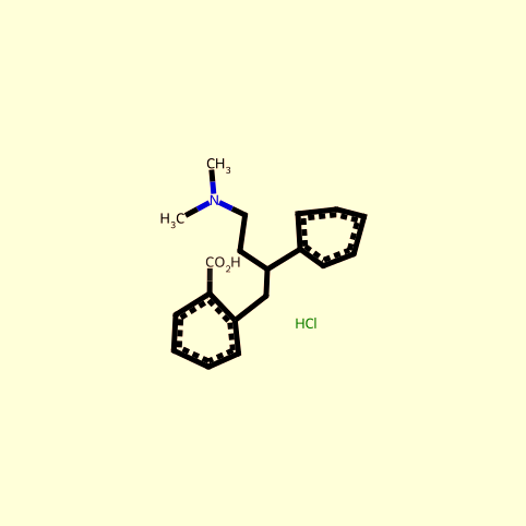 CN(C)CCC(Cc1ccccc1C(=O)O)c1ccccc1.Cl